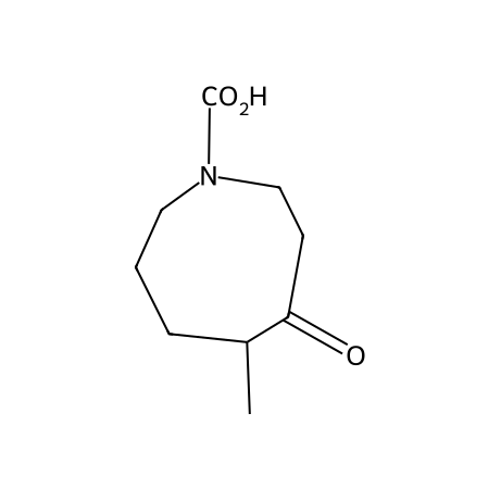 CC1CCCN(C(=O)O)CCC1=O